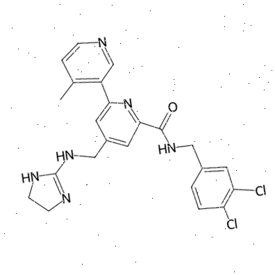 Cc1ccncc1-c1cc(CNC2=NCCN2)cc(C(=O)NCc2ccc(Cl)c(Cl)c2)n1